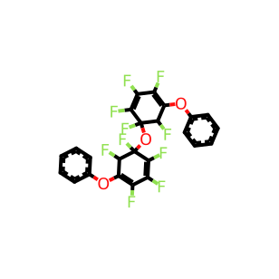 FC1=C(Oc2ccccc2)C(F)C(F)(OC2(F)C(F)=C(F)C(F)=C(Oc3ccccc3)C2F)C(F)=C1F